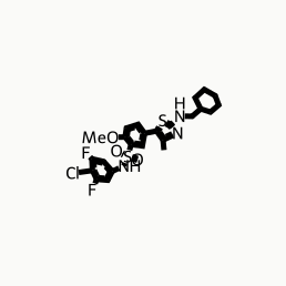 COc1ccc(-c2sc(NCC3CCCCC3)nc2C)cc1S(=O)(=O)Nc1cc(F)c(Cl)c(F)c1